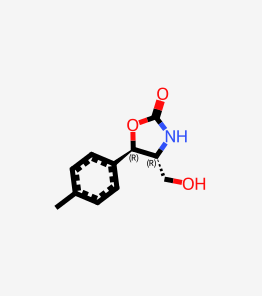 Cc1ccc([C@H]2OC(=O)N[C@@H]2CO)cc1